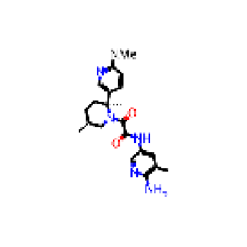 CNc1ccc([C@]2(C)CC[C@H](C)CN2C(=O)C(=O)Nc2cnc(N)c(C)c2)cn1